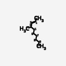 CC=CC(C)CCCCCC